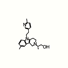 Cc1ccc2c(c1)c1c(n2CCc2ccc(C)nc2)CCN([C@H](C)CO)C1